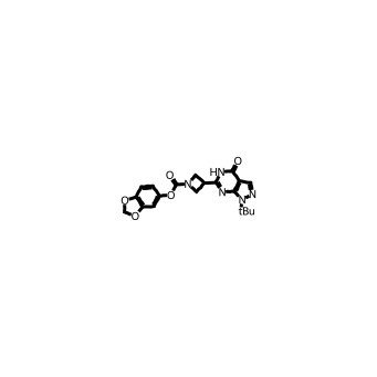 CC(C)(C)n1ncc2c(=O)[nH]c(C3CN(C(=O)Oc4ccc5c(c4)OCO5)C3)nc21